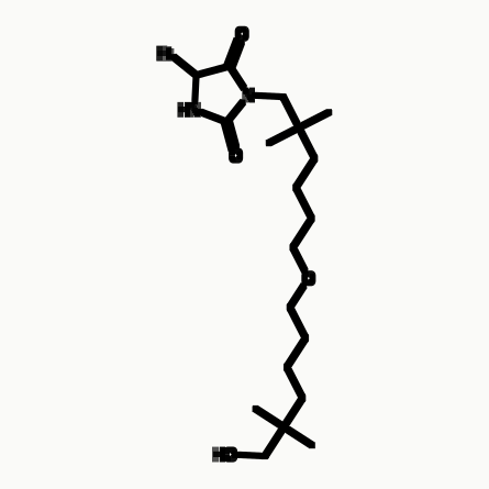 CCC1NC(=O)N(CC(C)(C)CCCCOCCCCC(C)(C)CO)C1=O